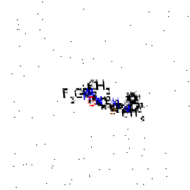 Cc1cc(C(F)(F)F)nn1CC(=O)N1CCC(c2nc(CN(C)C3CCCc4ccccc43)cs2)CC1